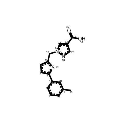 Cc1cccc(-c2ccc(Cn3cc(C(=O)O)cn3)s2)c1